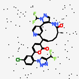 C[C@@H]1CC/C=C(/c2ccc(-c3cc(Cl)ccc3-n3cc(C(F)F)nn3)oc2=O)c2cc(ccn2)-c2c(cnn2C(F)F)NC1=O